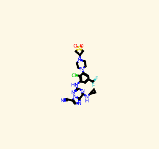 N#Cc1cnc2c(NC3CC3)nc(Nc3cc(C(F)F)cc(N4CCN(C5CS(=O)(=O)C5)CC4)c3Cl)nn12